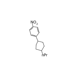 CCCC1CCC(c2ccc([N+](=O)[O-])cc2)CC1